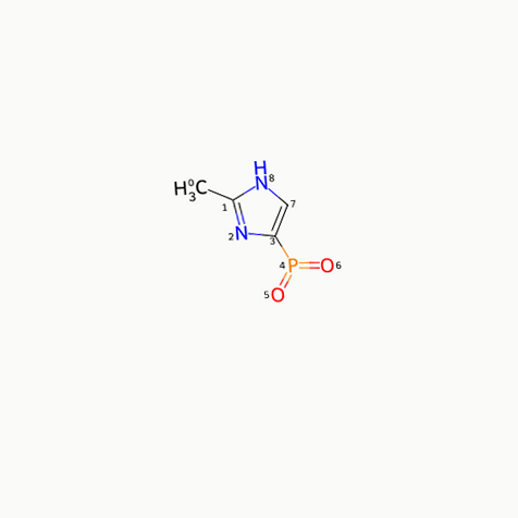 Cc1nc(P(=O)=O)c[nH]1